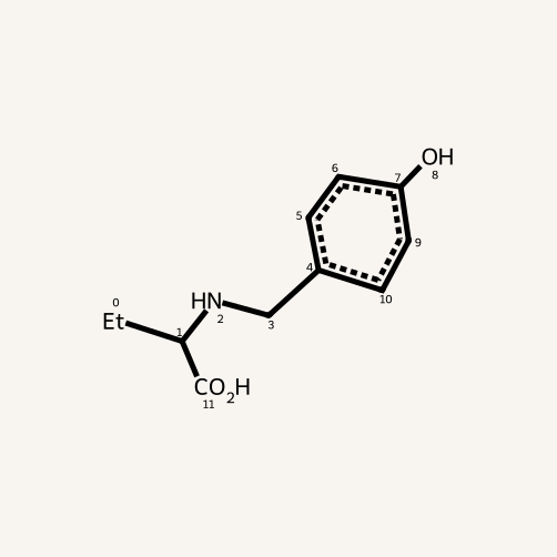 CCC(NCc1ccc(O)cc1)C(=O)O